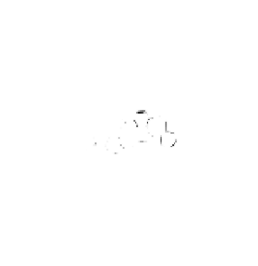 CN(C)c1ccc2c(c1)N(CCCN1CCC(C(=O)O)CC1)c1ccccc1CC2